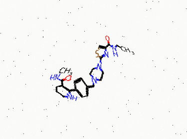 CCNC(=O)c1csc(N2CCN(Cc3ccc(C4=C(C(=O)NC)CCCN4)cc3)CC2)n1